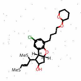 CSC=CC(SC)C1C(O)C[C@H]2Oc3c(CCCCOC4CCCCO4)cc(Cl)cc3[C@@H]12